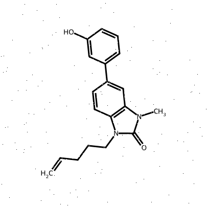 C=CCCCn1c(=O)n(C)c2cc(-c3cccc(O)c3)ccc21